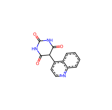 O=C1NC(=O)C(c2ccnc3ccccc23)C(=O)N1